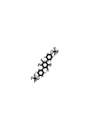 Fc1c(I)c(-c2ccc(OC(F)(F)F)cc2)c(F)c(I)c1-c1ccc(OC(F)(F)F)cc1